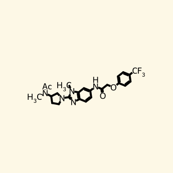 CC(=O)N(C)C1CCN(c2nc3ccc(NC(=O)COc4ccc(C(F)(F)F)cc4)cc3n2C)C1